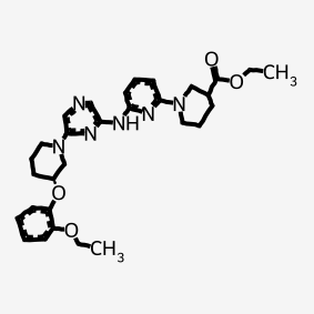 CCOC(=O)C1CCCN(c2cccc(Nc3cncc(N4CCC[C@@H](Oc5ccccc5OCC)C4)n3)n2)C1